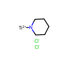 [Cl-].[Cl-].[Ti+2][N]1CCCCC1